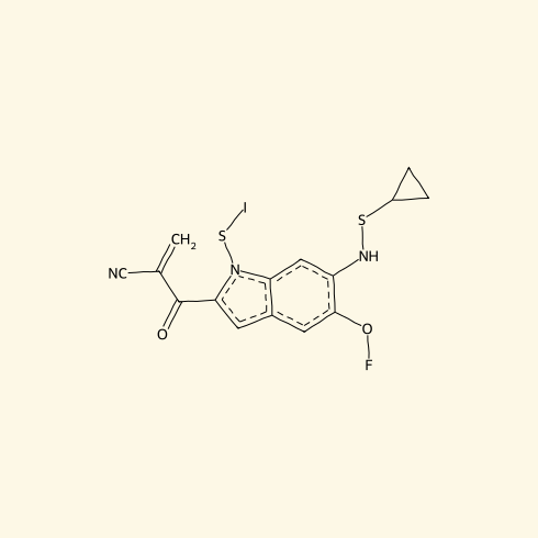 C=C(C#N)C(=O)c1cc2cc(OF)c(NSC3CC3)cc2n1SI